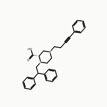 O=C(O)[C@@H]1CN(CCC#Cc2ccccc2)CCN1CC(c1ccccc1)c1ccccc1